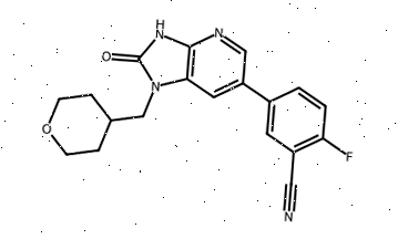 N#Cc1cc(-c2cnc3[nH]c(=O)n(CC4CCOCC4)c3c2)ccc1F